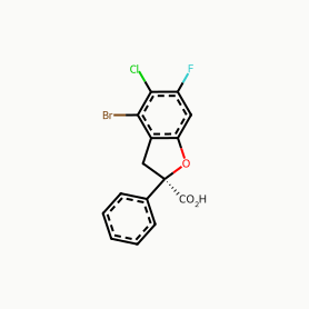 O=C(O)[C@]1(c2ccccc2)Cc2c(cc(F)c(Cl)c2Br)O1